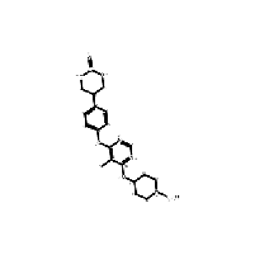 Cc1c(Oc2ccc(C3COS(=O)OC3)cc2)ncnc1OC1CCN(C(=O)O)CC1